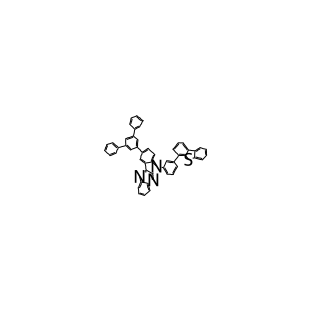 c1ccc(-c2cc(-c3ccccc3)cc(-c3ccc4c(c3)c3nc5ccccc5nc3n4-c3cccc(-c4cccc5c4sc4ccccc45)c3)c2)cc1